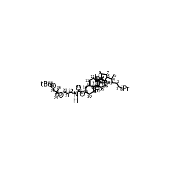 CC(C)CCCC(C)C1CC[C@H]2[C@@H]3CC=C4C[C@@H](OC(=O)NCCCOC(C)(C)COC(C)(C)C)CC[C@]4(C)[C@H]3CC[C@]12C